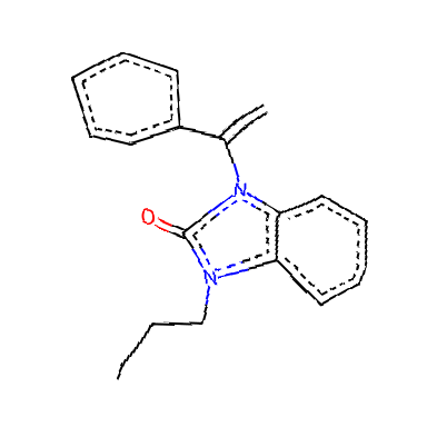 C=C(c1ccccc1)n1c(=O)n(CCC)c2ccccc21